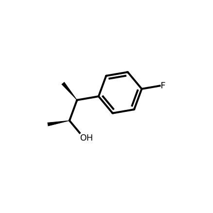 C[C@H](O)[C@@H](C)c1ccc(F)cc1